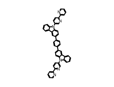 c1ccc(-c2ccc(-n3c4ccccc4c4cc(-c5ccc(-c6ccc7c(c6)c6ccccc6n7-c6ccc(-c7ccccn7)nc6)cc5)ccc43)cn2)nc1